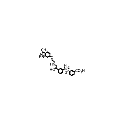 Cc1n[nH]c2cc(OCCNC[C@H](O)c3cccc(NS(=O)(=O)c4cccc(C(=O)O)c4)c3)ccc12